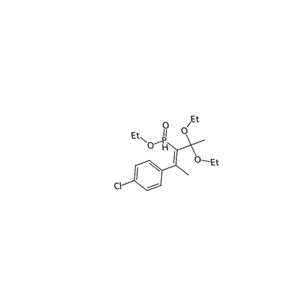 CCO[PH](=O)C(=C(C)c1ccc(Cl)cc1)C(C)(OCC)OCC